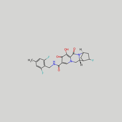 Cc1cc(F)c(CNC(=O)c2cn3c(c(O)c2=O)C(=O)N2[C@H]4CC(F)C(C4)[C@@H]2C3)c(F)c1